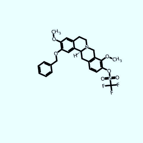 COc1cc2c(cc1OCc1ccccc1)[C@@H]1Cc3ccc(OS(=O)(=O)C(F)(F)F)c(OC)c3CN1CC2